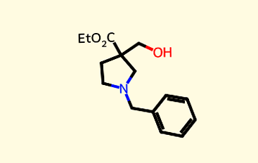 CCOC(=O)C1(CO)CCN(Cc2ccccc2)C1